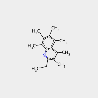 CCc1nc2c(C)c(C)c(C)c(C)c2c(C)c1C